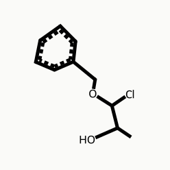 CC(O)C(Cl)OCc1ccccc1